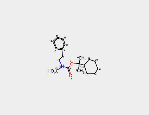 CC(C)(OC(=O)N(CCc1ccccc1)C(=O)O)C1CCCCC1